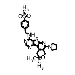 CC1(C)Cc2c(c(N3CCCC3)nc3sc4c(NCc5ccc(S(C)(=O)=O)cc5)ncnc4c23)CO1